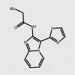 CC(C)(C)CC(=O)Nc1nc2ccccn2c1-c1nccs1